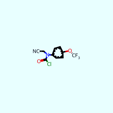 N#CCN(C(=O)Cl)c1ccc(OC(F)(F)F)cc1